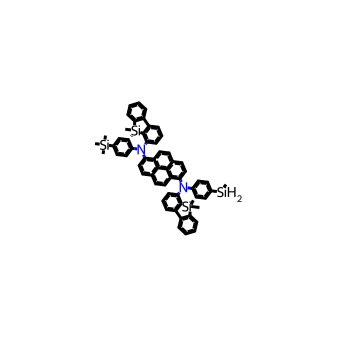 C[SiH2]c1ccc(N(c2cccc3c2[Si](C)(C)c2ccccc2-3)c2ccc3ccc4c(N(c5ccc([Si](C)(C)C)cc5)c5cccc6c5[Si](C)(C)c5ccccc5-6)ccc5ccc2c3c54)cc1